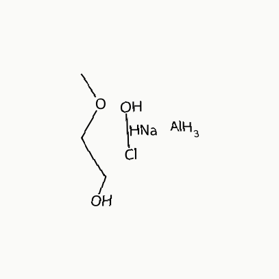 COCCO.OCl.[AlH3].[NaH]